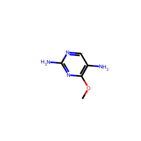 COc1nc(N)n[c]c1N